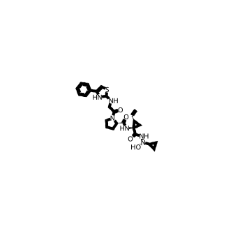 C=C[C@@H]1C[C@]1(NC(=O)[C@@H]1CCCN1C(=O)CNC1NC(c2ccccc2)=CS1)C(=O)NN(O)C1CC1